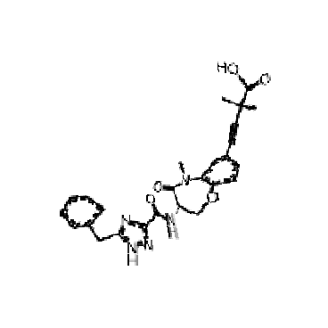 CN1C(=O)[C@@H](NC(=O)c2n[nH]c(Cc3ccccc3)n2)COc2ccc(C#CC(C)(C)C(=O)O)cc21